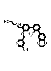 Cc1c(-c2ccc(CNCCO)c(OCc3cncc(C#N)c3)c2)cccc1-c1ccc2c(c1)OCCO2